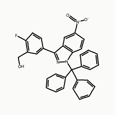 O=[N+]([O-])c1ccc2c(c1)c(-c1ccc(F)c(CO)c1)nn2C(c1ccccc1)(c1ccccc1)c1ccccc1